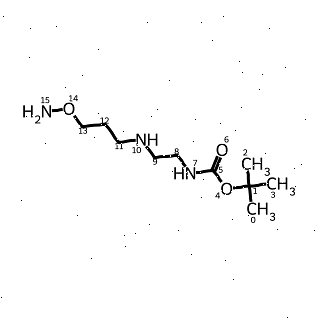 CC(C)(C)OC(=O)NCCNCCCON